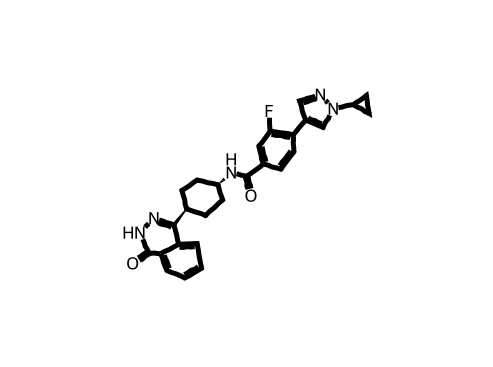 O=C(N[C@H]1CC[C@H](c2n[nH]c(=O)c3ccccc32)CC1)c1ccc(-c2cnn(C3CC3)c2)c(F)c1